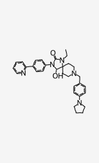 CCN1C(=O)N(c2ccc(-c3ccccn3)cc2)C(O)C12CCN(Cc1ccc(N3CCCC3)cc1)CC2